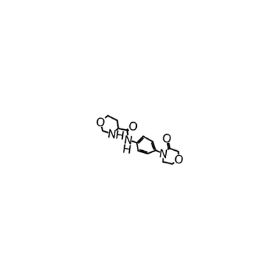 O=C(Nc1ccc(N2CCOCC2=O)cc1)C1CCOCN1